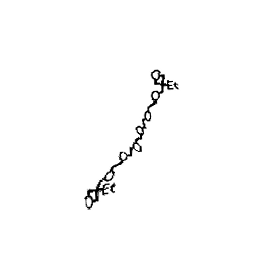 CCC1(COCCOCCOCCOCCOCCOCC2(CC)COC2)COC1